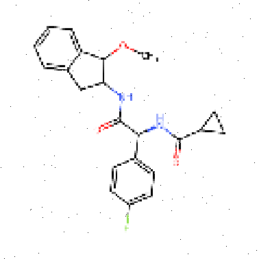 COC1c2ccccc2CC1NC(=O)[C@@H](NC(=O)C1CC1)c1ccc(F)cc1